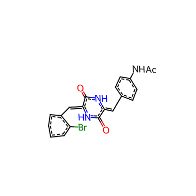 CC(=O)Nc1ccc(C=c2[nH]c(=O)c(=Cc3ccccc3Br)[nH]c2=O)cc1